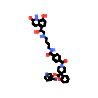 O=C(NCCCCNCC(O)c1ccc(O)c2[nH]c(=O)ccc12)c1ccc(C(=O)N2CCC(C(=O)O[C@H]3CN4CCC3CC4)(c3ccccc3)CC2)cc1